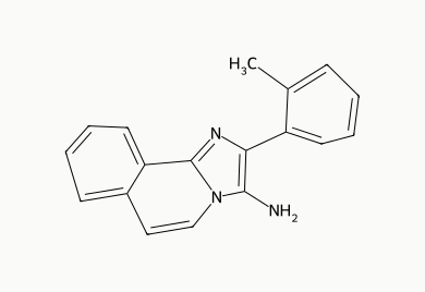 Cc1ccccc1-c1nc2c3ccccc3ccn2c1N